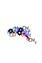 COCCNC(=O)Nc1c(C)cnc2c(NC(=O)c3c(Cl)ccnc3Cl)cccc12